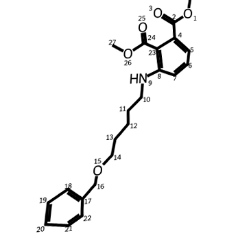 COC(=O)c1cccc(NCCCCCOCc2ccccc2)c1C(=O)OC